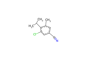 Cc1cc(C#N)cc(Cl)c1C(C)C